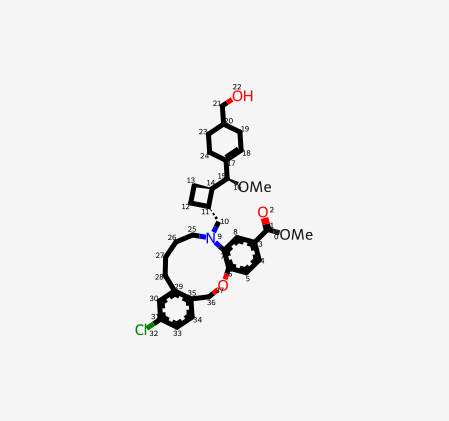 COC(=O)c1ccc2c(c1)N(C[C@@H]1CC[C@H]1[C@H](OC)C1=CCC(CO)CC1)CCCCc1cc(Cl)ccc1CO2